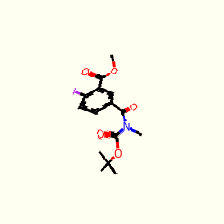 COC(=O)c1cc(C(=O)N(C)C(=O)OC(C)(C)C)ccc1I